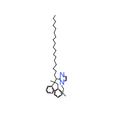 CCCCCCCCCCCCCCCCCCC(c1nccn1CCCC)C(C)(Cc1ccccc1)c1ccccc1